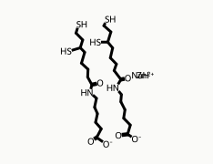 O=C([O-])CCCCCNC(=O)CCCCC(S)CCS.O=C([O-])CCCCCNC(=O)CCCCC(S)CCS.[NaH].[Zn+2]